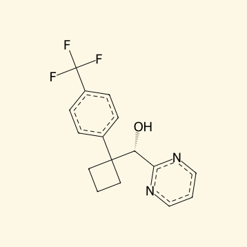 O[C@H](c1ncccn1)C1(c2ccc(C(F)(F)F)cc2)CCC1